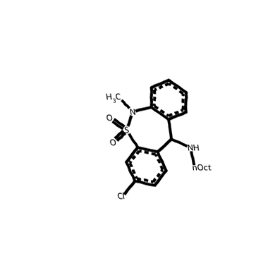 CCCCCCCCNC1c2ccccc2N(C)S(=O)(=O)c2cc(Cl)ccc21